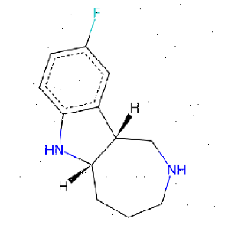 Fc1ccc2c(c1)[C@@H]1CNCCC[C@@H]1N2